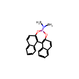 BN(B)p1oc2ccc3ccccc3c2c2c(ccc3ccccc32)o1